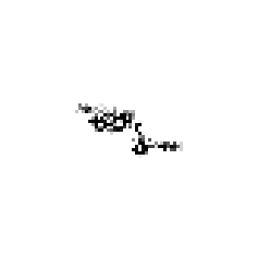 COC1C[C@H]2[C@@H]3CC[C@H](C(C)CCc4ncccc4OCCO)[C@@]3(C)CC[C@@H]2[C@@]2(C)CC[C@@H]3C[C@@]132